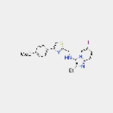 CCc1nc2ccc(I)cn2c1NCc1nc(-c2ccc(OC)cc2)cs1